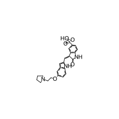 O=C1Nc2ccc(S(=O)(=O)O)cc2C1=Cc1cc2cc(OCCN3CCCC3)ccc2[nH]1